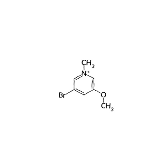 COc1cc(Br)c[n+](C)c1